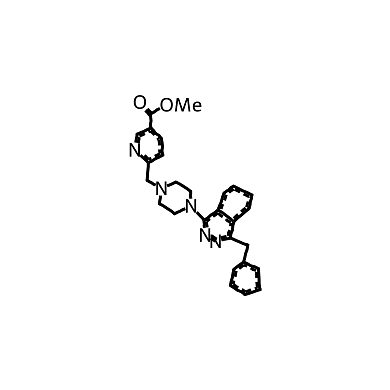 COC(=O)c1ccc(CN2CCN(c3nnc(Cc4ccccc4)c4ccccc34)CC2)nc1